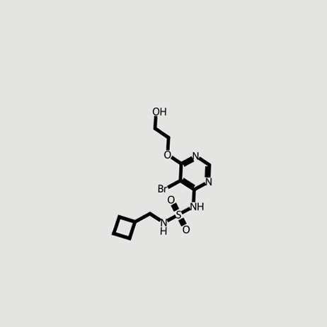 O=S(=O)(NCC1CCC1)Nc1ncnc(OCCO)c1Br